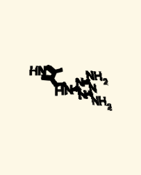 Cc1c[nH]cc1CCNc1nc(N)nc(N)n1